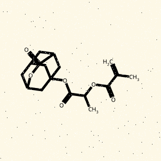 C=C(C)C(=O)OC(C)C(=O)OC12CC3CC(C1)OC(=O)C(C3)C2